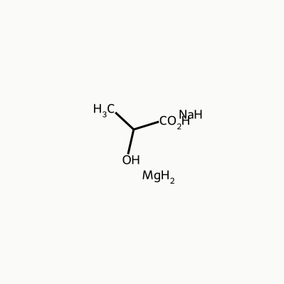 CC(O)C(=O)O.[MgH2].[NaH]